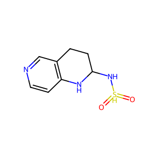 O=[SH](=O)NC1CCc2cnccc2N1